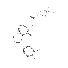 CC1(F)CN(C(=O)Cn2cnc3c(c2=O)C(c2ccc(Cl)c(Cl)c2)=CC3)C1